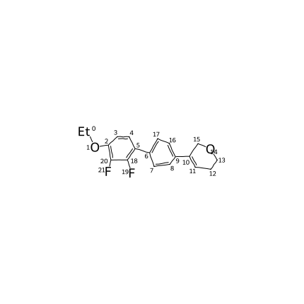 CCOc1ccc(-c2ccc(C3=CCCOC3)cc2)c(F)c1F